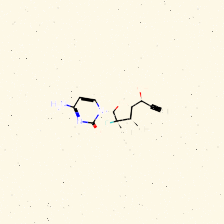 C#C[C@H](O)[C@H]1O[C@@H](n2ccc(N)nc2=O)[C@@](C)(F)[C@@H]1C